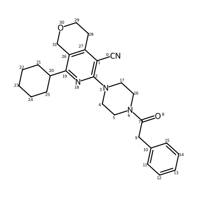 N#Cc1c(N2CCN(C(=O)Cc3ccccc3)CC2)nc(C2CCCCC2)c2c1CCOC2